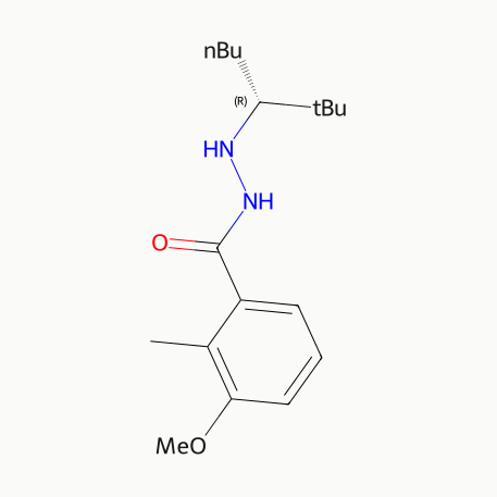 CCCC[C@@H](NNC(=O)c1cccc(OC)c1C)C(C)(C)C